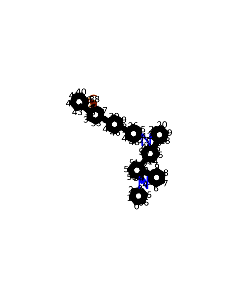 c1ccc(-n2c3ccccc3c3c(-c4ccc5c6ccccc6n(-c6ccc(-c7ccc(-c8ccc9c(c8)sc8ccccc89)cc7)cc6)c5c4)cccc32)cc1